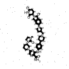 CN1CCN([C@@H]2CCCN(c3cnc(C(N)=O)c(Nc4ccc(C5CCN(CC6CCN(c7ccc8c(c7)CN(C7CCC(=O)NC7=O)C8=O)C6)CC5)cc4)n3)C2)C1=O